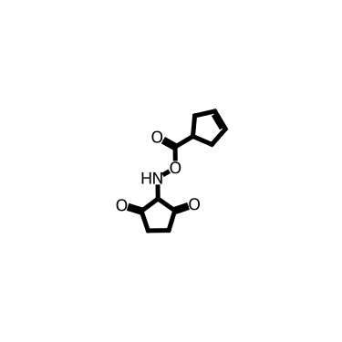 O=C(ONC1C(=O)CCC1=O)C1CC=CC1